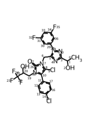 CC(O)c1nc(Cn2c(Cl)c(-c3ccc(Cl)cc3)n(CC(O)C(F)(F)F)c2=O)n(-c2cc(F)cc(F)c2)n1